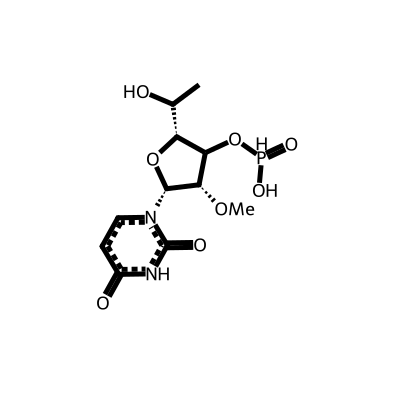 CO[C@H]1C(O[PH](=O)O)[C@@H](C(C)O)O[C@H]1n1ccc(=O)[nH]c1=O